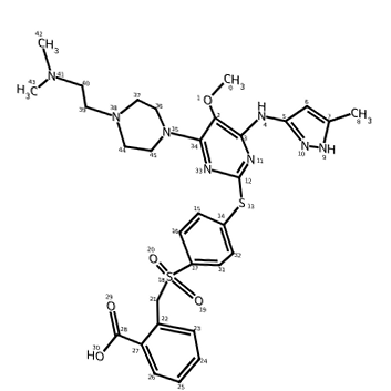 COc1c(Nc2cc(C)[nH]n2)nc(Sc2ccc(S(=O)(=O)Cc3ccccc3C(=O)O)cc2)nc1N1CCN(CCN(C)C)CC1